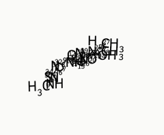 CNc1nc(-c2ccc(CNC(=O)c3cccn4c(C(=O)N[C@H](CO)CC(C)C)cnc34)cn2)cs1